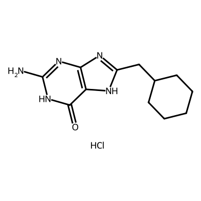 Cl.Nc1nc2nc(CC3CCCCC3)[nH]c2c(=O)[nH]1